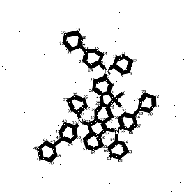 CC1(C)c2cc(N(c3ccccc3)c3ccc(-c4ccccc4)cc3)ccc2-c2cc3c(N(c4ccccc4)c4ccc(-c5ccccc5)cc4)c4ccccc4c(N(c4ccccc4)c4ccc(-c5ccccc5)cc4)c3cc21